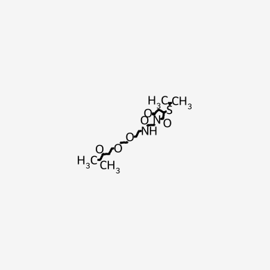 CC(C)SC1CC(=O)N(CC(=O)NCCOCCOCCC(=O)C(C)C)C1=O